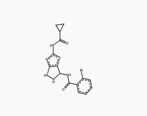 O=C(NC1NNc2nc(NC(=O)C3CC3)sc21)c1ccccc1Br